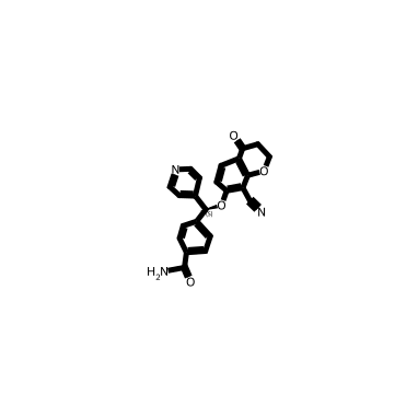 N#Cc1c(O[C@H](c2ccncc2)c2ccc(C(N)=O)cc2)ccc2c1OCCC2=O